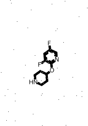 Fc1cnc(OC2CCNCC2)c(F)c1